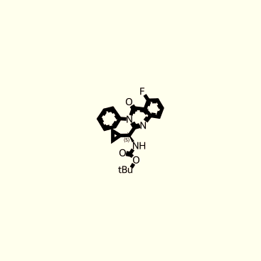 CC(C)(C)OC(=O)N[C@H](c1nc2cccc(F)c2c(=O)n1-c1ccccc1)C1CC1